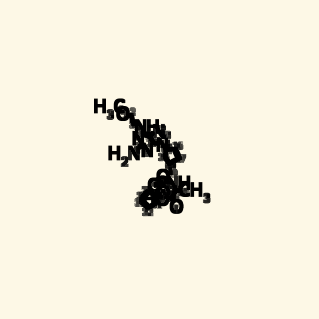 COCCNc1nc(N)nc2c1ncn2[C@H]1C=C[C@@H](CO[P@](=O)(NC(C)C(=O)O)Oc2ccccc2)C1